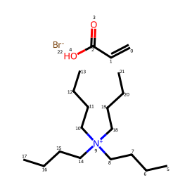 C=CC(=O)O.CCCC[N+](CCCC)(CCCC)CCCC.[Br-]